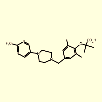 Cc1cc(CN2CCN(c3cnc(C(F)(F)F)nc3)CC2)cc(C)c1OC(C)(C)C(=O)O